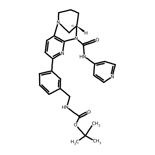 CC(C)(C)OC(=O)NCc1cccc(-c2ccc3c(n2)N(C(=O)Nc2ccncc2)[C@H]2CCCN3C2)c1